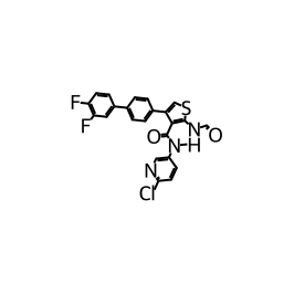 CN(C(=O)c1c(-c2ccc(-c3ccc(F)c(F)c3)cc2)csc1NC=O)c1ccc(Cl)nc1